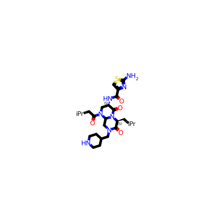 CC(C)CC(=O)N1C[C@H](NC(=O)c2csc(N)n2)C(=O)N2C1CN(CC1CCNCC1)C(=O)[C@@H]2CC(C)C